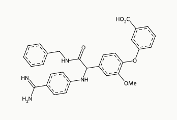 COc1cc(C(Nc2ccc(C(=N)N)cc2)C(=O)NCc2ccccc2)ccc1Oc1cccc(C(=O)O)c1